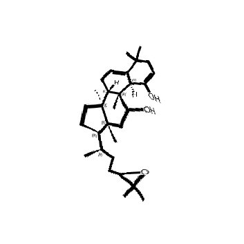 C[C@H](CCC1OC1(C)C)[C@H]1CC[C@@]2(C)[C@@H]3CC=C4[C@@H](C(O)=CCC4(C)C)[C@]3(C)C(O)C[C@]12C